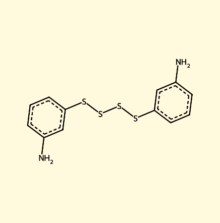 Nc1cccc(SSSSc2cccc(N)c2)c1